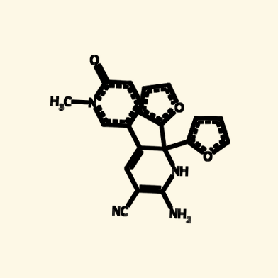 Cn1cc(C2=CC(C#N)=C(N)NC2(c2ccco2)c2ccco2)ccc1=O